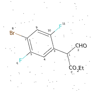 CCOC(=O)C(C=O)c1cc(F)c(Br)cc1F